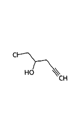 C#CCC(O)CCl